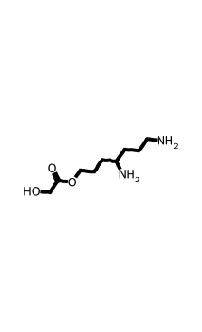 NCCCC(N)CCCOC(=O)CO